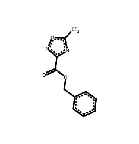 O=C(OCc1ccccc1)c1noc(C(F)(F)F)n1